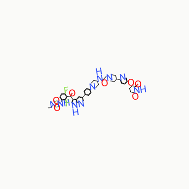 CCN(C)S(=O)(=O)Nc1ccc(F)c(C(=O)c2c[nH]c3ncc(-c4ccc(N5CCC(NC(=O)CN6CCC(c7ccc(OC8CCC(=O)NC8=O)cn7)CC6)CC5)cc4)cc23)c1F